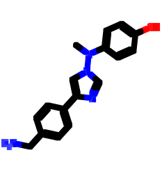 CN(c1ccc(O)cc1)n1cnc(-c2ccc(CN)cc2)c1